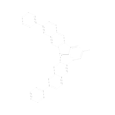 Clc1cc2c3cc4ccc(-c5ccccc5)cc4cc3n3c4cc5cc(-c6ccccc6)ccc5cc4c(c1)c23